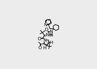 CC(=O)[C@@H]1[C@@H]2[C@H](CN1C(=O)[C@@H](NC(=O)NC1(Cc3ccccn3)CCCCC1)C(C)(C)C)C2(C)C